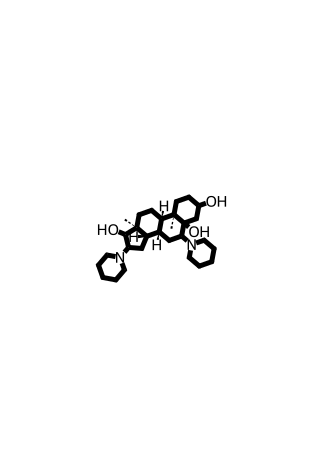 C[C@]12CC[C@@H]3[C@@H](CC(N4CCCCC4)C4(O)CC(O)CC[C@]34C)[C@@H]1CC(N1CCCCC1)C2O